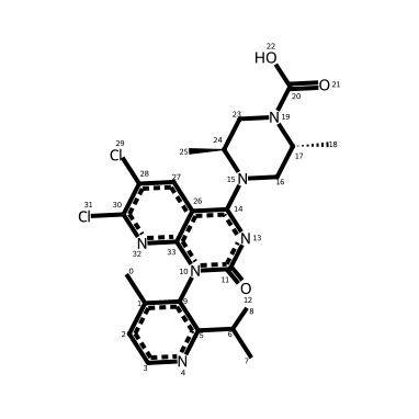 Cc1ccnc(C(C)C)c1-n1c(=O)nc(N2C[C@@H](C)N(C(=O)O)C[C@@H]2C)c2cc(Cl)c(Cl)nc21